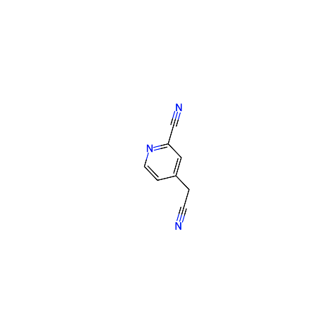 N#CCc1ccnc(C#N)c1